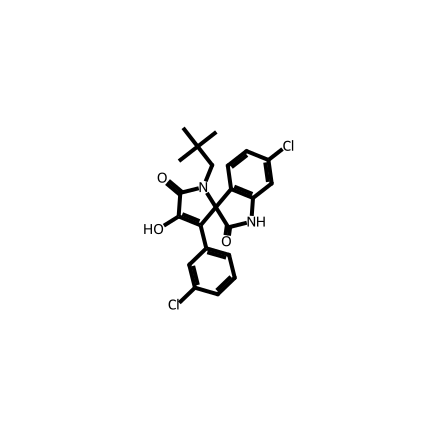 CC(C)(C)CN1C(=O)C(O)=C(c2cccc(Cl)c2)C12C(=O)Nc1cc(Cl)ccc12